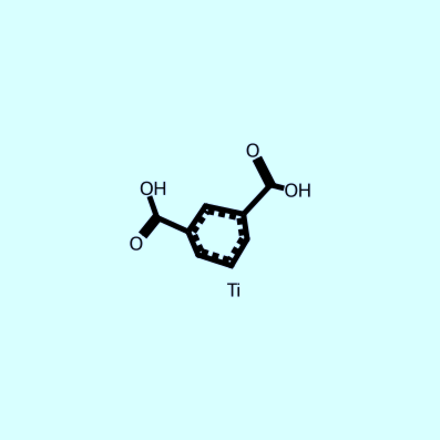 O=C(O)c1cccc(C(=O)O)c1.[Ti]